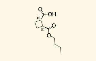 CCCCOC(=O)[C@H]1CC[C@H]1C(=O)O